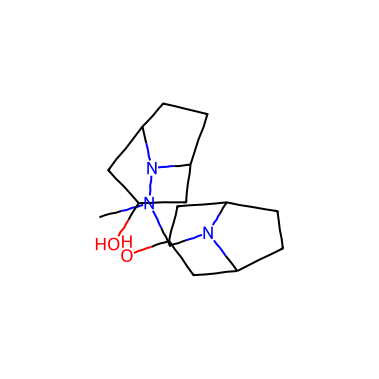 CN(CN1C2CCC1CC(O)C2)N1C2CCC1CC(O)C2